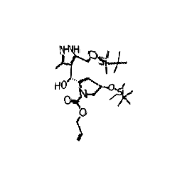 C=CCOC(=O)N1C[C@H](O[Si](C)(C)C(C)(C)C)C[C@H]1C(O)c1c(C)n[nH]c1CO[Si](C)(C)C(C)(C)C